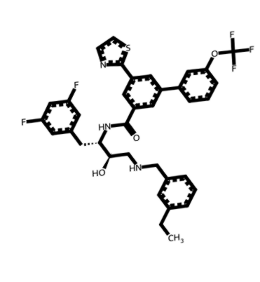 CCc1cccc(CNC[C@@H](O)[C@H](Cc2cc(F)cc(F)c2)NC(=O)c2cc(-c3cccc(OC(F)(F)F)c3)cc(-c3nccs3)c2)c1